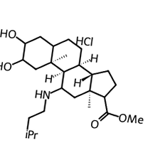 COC(=O)C1CC[C@H]2[C@@H]3CCC4CC(O)C(O)C[C@]4(C)[C@@H]3C(NCCC(C)C)C[C@]12C.Cl